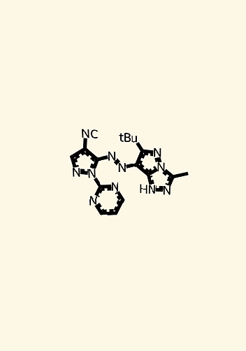 [C-]#[N+]c1cnn(-c2ncccn2)c1/N=N/c1c(C(C)(C)C)nn2c(C)n[nH]c12